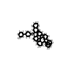 c1ccc(-c2ccc(N(c3cccc(C4(c5ccccc5)c5ccccc5C5(c6ccccc6)c6ccccc6-c6cccc4c65)c3)c3ccc4ccccc4c3)cc2)cc1